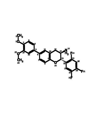 COc1ccc(-c2ccc3c(c2)C[C@@H](N)[C@H](c2cc(F)c(F)cc2F)O3)cc1OC